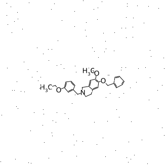 CCOc1cccc(CN2CCc3cc(OCc4ccccc4)c(OC)cc3C2)c1